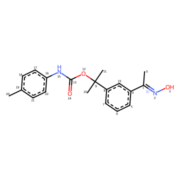 C/C(=N\O)c1cccc(C(C)(C)OC(=O)Nc2ccc(C)cc2)c1